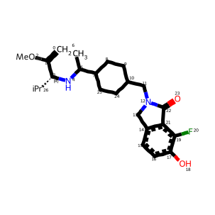 C=C(OC)[C@H](NC(C)C1CCC(CN2Cc3ccc(O)c(F)c3C2=O)CC1)C(C)C